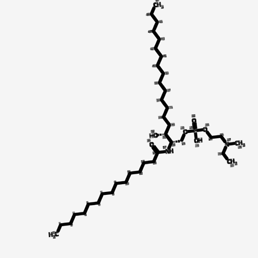 CCCCCCCCCCCCCCCC(=O)N[C@@H](COP(=O)(O)OCCN(C)CC)[C@H](O)CCCCCCCCCCCCCCC